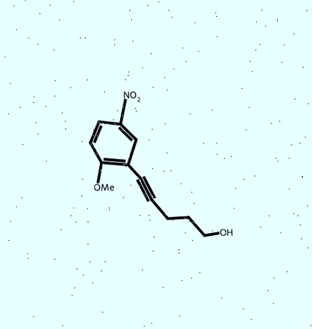 COc1ccc([N+](=O)[O-])cc1C#CCCCO